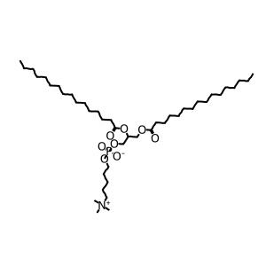 CCCCCCCCCCCCCCCC(=O)OCC(COP(=O)([O-])OCCCCC[N+](C)(C)C)OC(=O)CCCCCCCCCCCCCCC